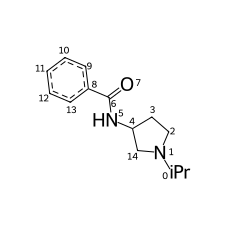 CC(C)N1CCC(NC(=O)c2ccccc2)C1